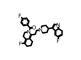 O=C(c1ccc(F)cc1)N1CCC2=C(F)CCCC2=C1CCN1CCC(C2=CN=C3CC=C(F)C=C23)CC1